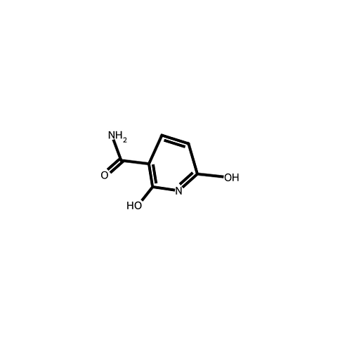 NC(=O)c1ccc(O)nc1O